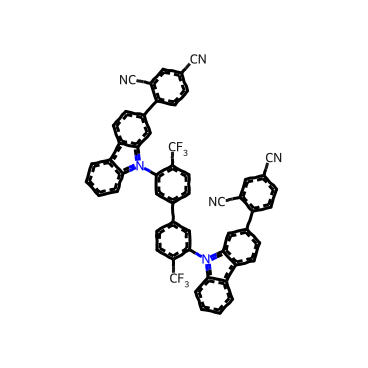 N#Cc1ccc(-c2ccc3c4ccccc4n(-c4cc(-c5ccc(C(F)(F)F)c(-n6c7ccccc7c7ccc(-c8ccc(C#N)cc8C#N)cc76)c5)ccc4C(F)(F)F)c3c2)c(C#N)c1